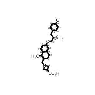 CC1=C(CN2CC(C(=O)O)C2)CCc2cc(OC[C@@H](C)Cc3ccc(Cl)cc3)ccc21